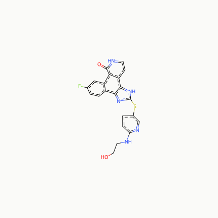 O=c1[nH]ccc2c3[nH]c(Sc4ccc(NCCO)nc4)nc3c3ccc(F)cc3c12